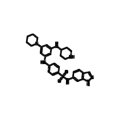 O=S(=O)(Nc1ccc2cn[nH]c2c1)c1ccc(Nc2cc(NC3CCNCC3)cc(N3CCCCC3)c2)cc1